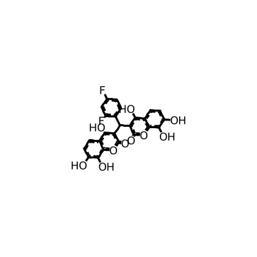 O=c1oc2c(O)c(O)ccc2c(O)c1C(c1ccc(F)cc1F)c1c(O)c2ccc(O)c(O)c2oc1=O